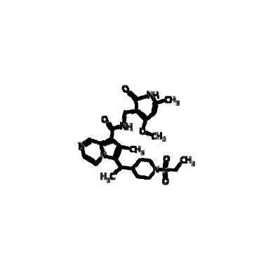 CCS(=O)(=O)N1CCC(C(C)c2c(C)c(C(=O)NCc3c(OC)cc(C)[nH]c3=O)c3cnccn23)CC1